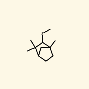 CSC1C2(C)CCC(C2)C1(C)C